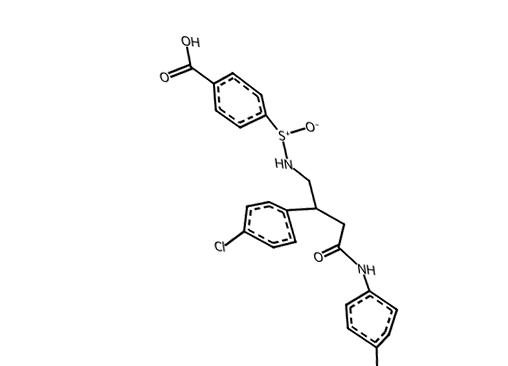 O=C(CC(CN[S+]([O-])c1ccc(C(=O)O)cc1)c1ccc(Cl)cc1)Nc1ccc(C(=O)O)cc1